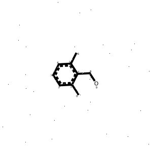 [CH2]c1cccc(C)c1C[O]